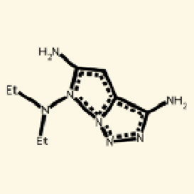 CCN(CC)n1c(N)cc2c(N)nnn21